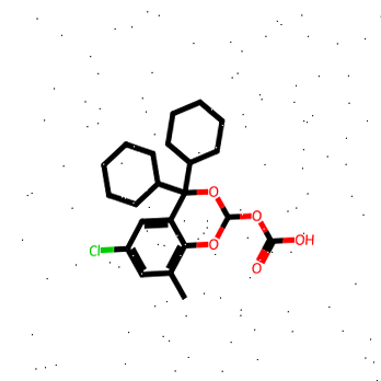 Cc1cc(Cl)cc2c1OC(OC(=O)O)OC2(C1CCCCC1)C1CCCCC1